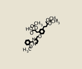 COc1ccccc1-c1nccc(COc2ccc(CCC3COC(C)(C)O3)cc2CC(OC(C)=O)C(=O)O)n1